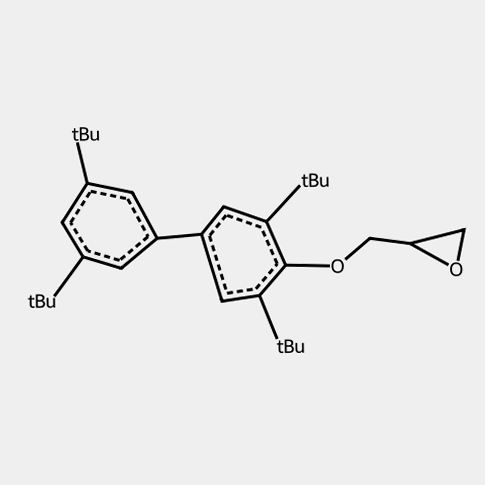 CC(C)(C)c1cc(-c2cc(C(C)(C)C)c(OCC3CO3)c(C(C)(C)C)c2)cc(C(C)(C)C)c1